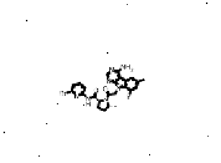 Cc1cc(F)c2c(c1)c1c(N)ncnc1n2CC(=O)N1[C@H](C)CC[C@H]1C(=O)Nc1cccc(Br)n1